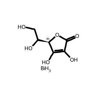 O=C1O[C@H](C(O)CO)C(O)=C1O.[BiH3]